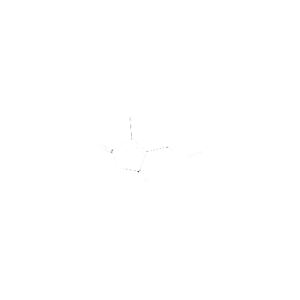 CCOCC1=C(C)C(=O)OC1=O